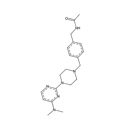 CC(=O)NCc1ccc(CN2CCN(c3nccc(N(C)C)n3)CC2)cc1